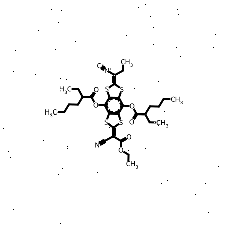 [C-]#[N+]C(CC)=C1Sc2c(OC(=O)C(CC)CCCC)c3c(c(OC(=O)C(CC)CCCC)c2S1)SC(=C(C#N)C(=O)OCC)S3